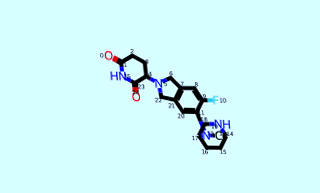 O=C1CCC(N2Cc3cc(F)c(N4CC5CCC4CN5)cc3C2)C(=O)N1